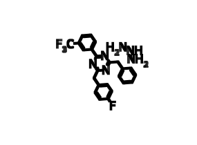 Fc1ccc(Cc2nc(Cc3ccccc3)nc(-c3cccc(C(F)(F)F)c3)n2)cc1.NNN